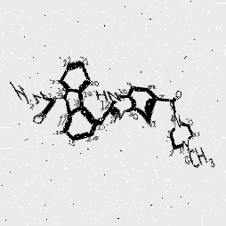 CN1CCN(C(=O)c2ccc3[nH]c(-c4cccc5c4-c4ccccc4[C@H]5C(N)=O)nc3c2)CC1